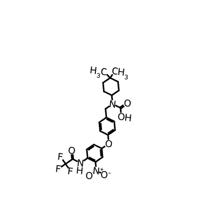 CC1(C)CCC(N(Cc2ccc(Oc3ccc(NC(=O)C(F)(F)F)c([N+](=O)[O-])c3)cc2)C(=O)O)CC1